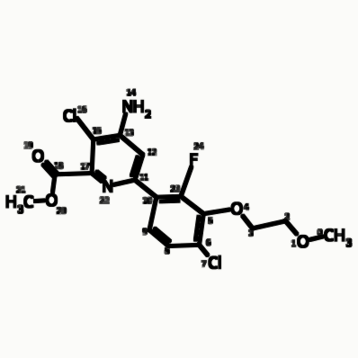 COCCOc1c(Cl)ccc(-c2cc(N)c(Cl)c(C(=O)OC)n2)c1F